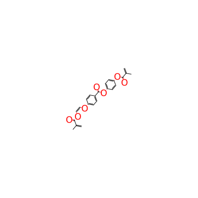 C=C(C)C(=O)O/C=C\Oc1ccc(C(=O)Oc2ccc(OC(=O)C(=C)C)cc2)cc1